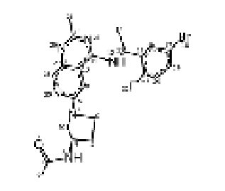 CC(=O)N[C@@H]1CCN(c2cc3c(NC(C)c4cc(Br)ccc4F)nc(C)nc3cn2)C1